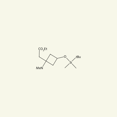 CCOC(=O)CC1(NC)CC(O[Si](C)(C)C(C)(C)C)C1